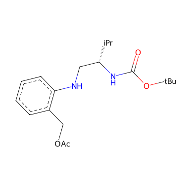 CC(=O)OCc1ccccc1NC[C@@H](NC(=O)OC(C)(C)C)C(C)C